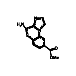 COC(=O)c1ccc2nc(N)c3nccn3c2c1